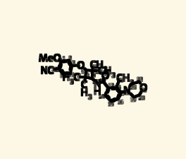 COc1cc(OC2C(C)(C)C(NC(=O)c3cccc(N4CCOCC4)c3C)C2(C)C)ccc1C#N